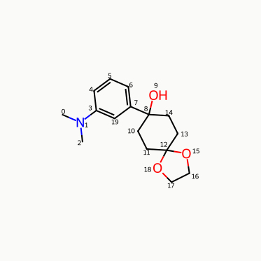 CN(C)c1cccc(C2(O)CCC3(CC2)OCCO3)c1